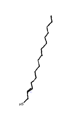 CCCCCCCCCCCCC/C=C/CS